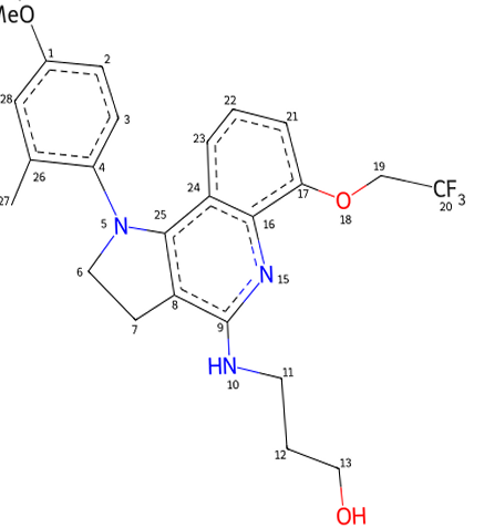 COc1ccc(N2CCc3c(NCCCO)nc4c(OCC(F)(F)F)cccc4c32)c(C)c1